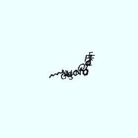 CCCCCCCC(C)NC(=O)c1csc(C2CCN(C(=O)c3ccccc3-c3ccc(C(F)(F)F)cc3)CC2)n1